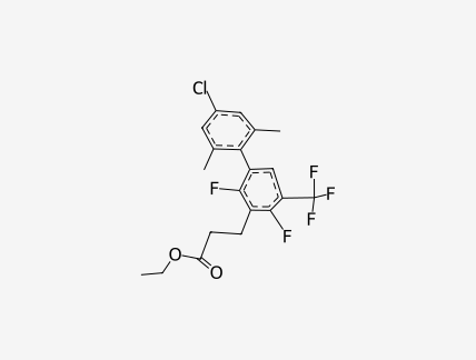 CCOC(=O)CCc1c(F)c(-c2c(C)cc(Cl)cc2C)cc(C(F)(F)F)c1F